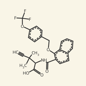 C#CC(C)(C)C(NC(=O)c1ccc2ccccc2c1OCc1ccc(OC(F)(F)F)cc1)C(=O)O